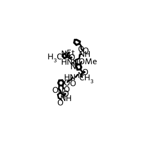 CCn1nc(C)cc1C(=O)Nc1nc2cc(C(=O)N(C)CCNC(=O)COc3cccc4c3C(=O)N(C3CCC(=O)NC3=O)C4=O)cc(OC)c2n1CCCNC(=O)OCc1ccccc1